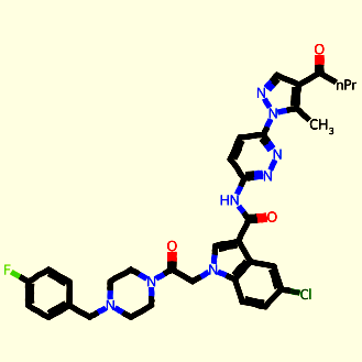 CCCC(=O)c1cnn(-c2ccc(NC(=O)c3cn(CC(=O)N4CCN(Cc5ccc(F)cc5)CC4)c4ccc(Cl)cc34)nn2)c1C